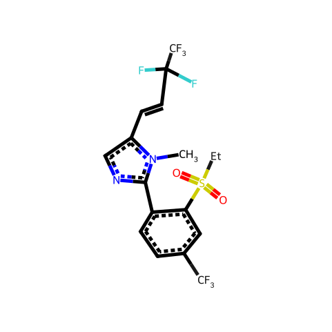 CCS(=O)(=O)c1cc(C(F)(F)F)ccc1-c1ncc(C=CC(F)(F)C(F)(F)F)n1C